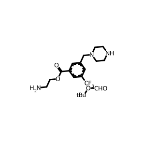 CC(C)(C)OC=O.NCCOC(=O)c1cc(CN2CCNCC2)cc(C(F)(F)F)c1